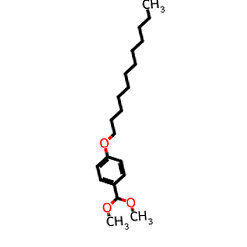 CCCCCCCCCCCCOc1ccc(C(OC)OC)cc1